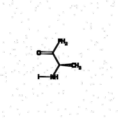 C[C@@H](NI)C(=O)P